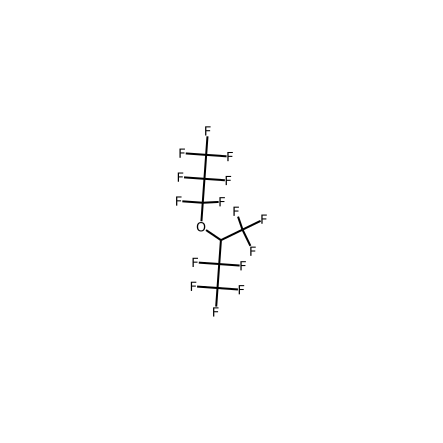 FC(F)(F)C(OC(F)(F)C(F)(F)C(F)(F)F)C(F)(F)C(F)(F)F